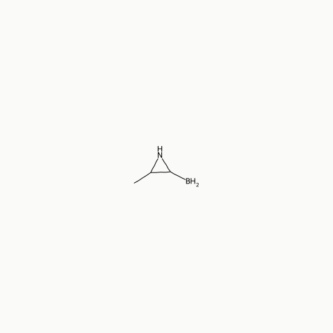 BC1NC1C